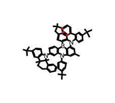 Cc1cc2c3c(c1)N(c1ccc(C(C)(C)C)cc1-c1ccccc1)c1cc4c(cc1B3c1ccc(N3c5ccc(C(C)(C)C)cc5C5(C)CCc6ccccc6C35C)cc1N2c1ccc(C(C)(C)C)cc1)CC(C)(C)C4